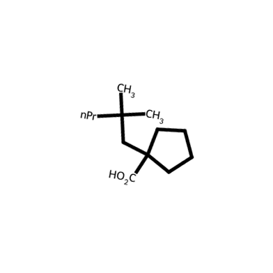 CCCC(C)(C)CC1(C(=O)O)CCCC1